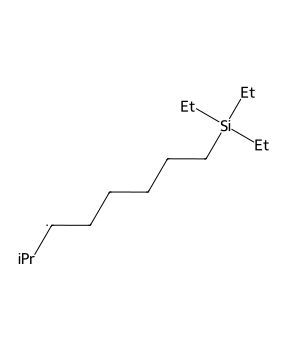 CC[Si](CC)(CC)CCCCC[CH]C(C)C